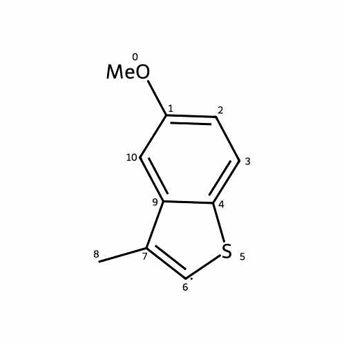 COc1ccc2s[c]c(C)c2c1